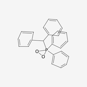 c1ccc(C(c2ccccc2)P2(c3ccccc3)(c3ccccc3)OO2)cc1